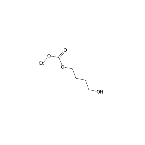 CCOC(=O)OCCCCO